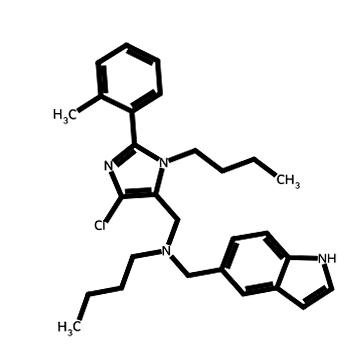 CCCCN(Cc1ccc2[nH]ccc2c1)Cc1c(Cl)nc(-c2ccccc2C)n1CCCC